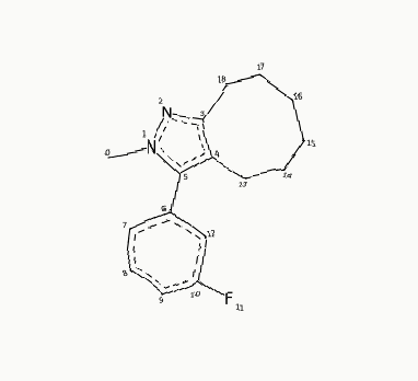 Cn1nc2c(c1-c1cccc(F)c1)CCCCCC2